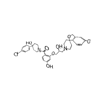 O=C(c1ccc(O)cc1OC[C@@H](O)CN1CCC2(CC1)OCc1cc(Cl)ccc12)N1CCC(O)(c2ccc(Cl)cc2)CC1